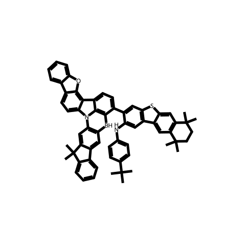 CC(C)(C)c1ccc(Nc2cc3c(cc2-c2ccc4c5c6oc7ccccc7c6ccc5n5c4c2Bc2cc4c(cc2-5)C(C)(C)c2ccccc2-4)sc2cc4c(cc23)C(C)(C)CCC4(C)C)cc1